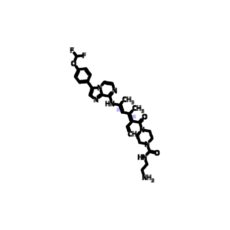 C=C/C(C(=O)N1CCN(C(=O)NCCN)CC1)=C(C)\C=C(/C)Nc1nccn2c(-c3ccc(OC(F)F)cc3)cnc12